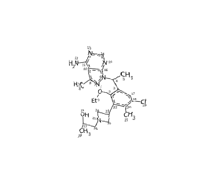 CCOc1c(C(C)n2nc(C)c3c(N)ncnc32)cc(Cl)c(C)c1C1CN(CC(C)O)C1